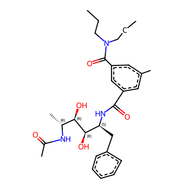 CCCN(CCC)C(=O)c1cc(C)cc(C(=O)N[C@@H](Cc2ccccc2)[C@@H](O)[C@H](O)[C@@H](C)NC(C)=O)c1